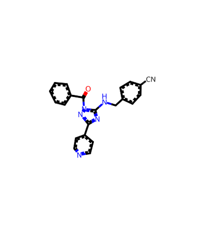 N#Cc1ccc(CNc2nc(-c3ccncc3)nn2C(=O)c2ccccc2)cc1